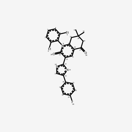 CCc1cccc(CC)c1-n1c2c(cc(-c3nc(-c4ccc(F)cc4)cs3)c1=O)C(=O)CC(C)(C)C2